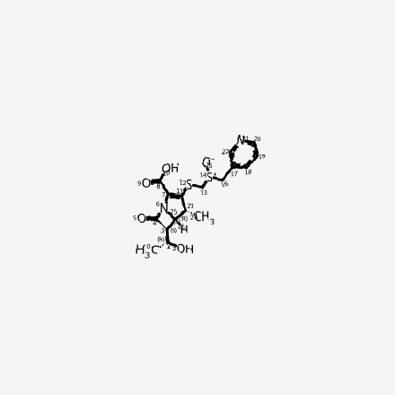 C[C@@H](O)[C@H]1C(=O)N2C(C(=O)O)=C(SC[S+]([O-])Cc3cccnc3)[C@H](C)[C@H]12